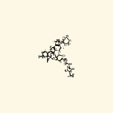 CC(F)(F)c1cc(F)ccc1-c1sc2c(ccc3c2cnn3C2CCCCO2)c1Oc1ccc(OCCN2CC(CF)C2)cc1